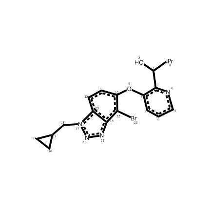 CC(C)C(O)c1ncccc1Oc1ccc2c(nnn2CC2CC2)c1Br